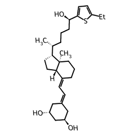 CCc1ccc([C@H](O)CCC[C@@H](C)[C@H]2CC[C@H]3/C(=C/C=C4C[C@@H](O)C[C@H](O)C4)CCC[C@]23C)s1